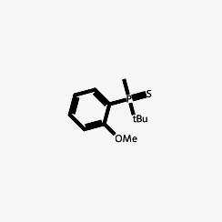 COc1ccccc1P(C)(=S)C(C)(C)C